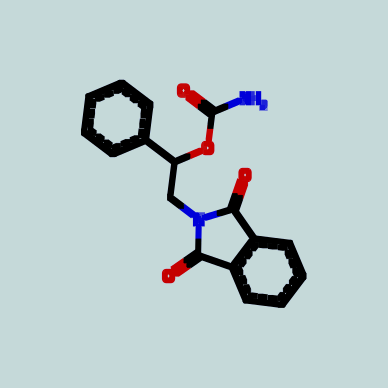 NC(=O)OC(CN1C(=O)c2ccccc2C1=O)c1ccccc1